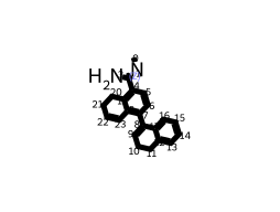 C/N=C(\N)c1ccc(C2=CCCc3ccccc32)c2c1CCC=C2